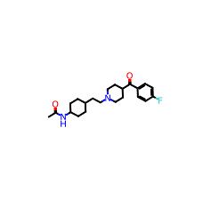 CC(=O)NC1CCC(CCN2CCC(C(=O)c3ccc(F)cc3)CC2)CC1